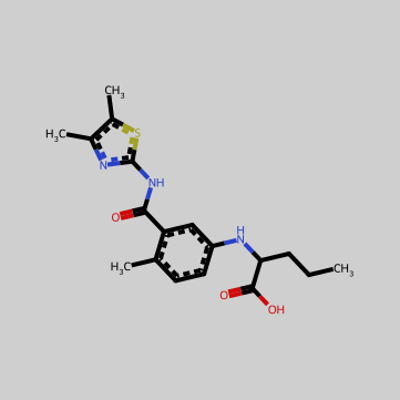 CCCC(Nc1ccc(C)c(C(=O)Nc2nc(C)c(C)s2)c1)C(=O)O